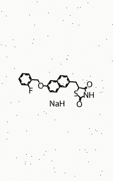 O=C1NC(=O)C(Cc2ccc3cc(OCc4ccccc4F)ccc3c2)S1.[NaH]